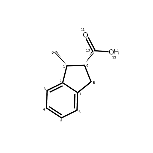 C[C@H]1c2ccccc2C[C@H]1C(=O)O